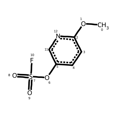 COc1ccc(OS(=O)(=O)F)cn1